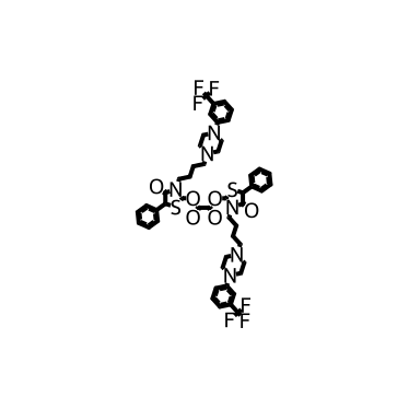 O=C(OC1SC(c2ccccc2)C(=O)N1CCCCN1CCN(c2cccc(C(F)(F)F)c2)CC1)C(=O)OC1SC(c2ccccc2)C(=O)N1CCCCN1CCN(c2cccc(C(F)(F)F)c2)CC1